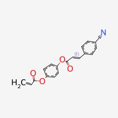 C=CC(=O)Oc1ccc(OC(=O)/C=C/c2ccc(C#N)cc2)cc1